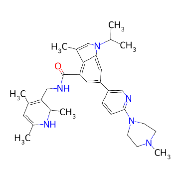 CC1=CC(C)=C(CNC(=O)c2cc(-c3ccc(N4CCN(C)CC4)nc3)cc3c2c(C)cn3C(C)C)C(C)N1